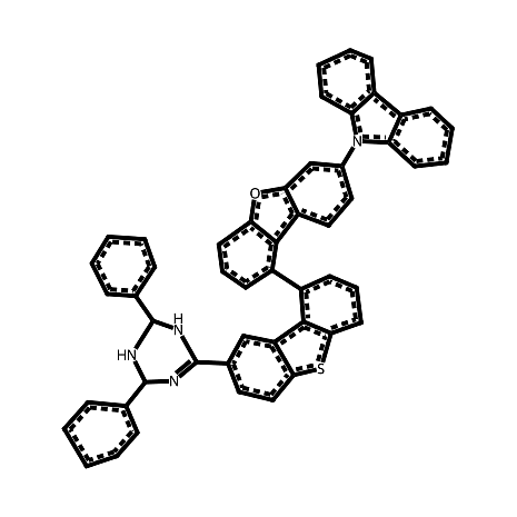 c1ccc(C2N=C(c3ccc4sc5cccc(-c6cccc7oc8cc(-n9c%10ccccc%10c%10ccccc%109)ccc8c67)c5c4c3)NC(c3ccccc3)N2)cc1